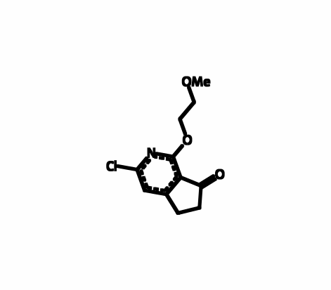 COCCOc1nc(Cl)cc2c1C(=O)CC2